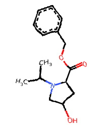 CC(C)N1CC(O)CC1C(=O)OCc1ccccc1